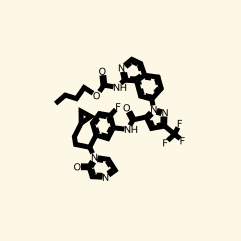 CCCCOC(=O)Nc1nccc2ccc(-n3nc(C(F)(F)F)cc3C(=O)Nc3cc(C(CCC4CC4)n4ccncc4=O)ccc3F)cc12